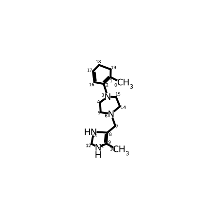 CC1=C(N2CCN(CC3=C(C)NCN3)CC2)C=CCC1